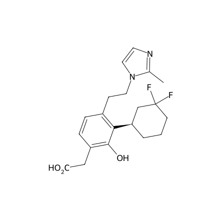 Cc1nccn1CCc1ccc(CC(=O)O)c(O)c1[C@@H]1CCCC(F)(F)C1